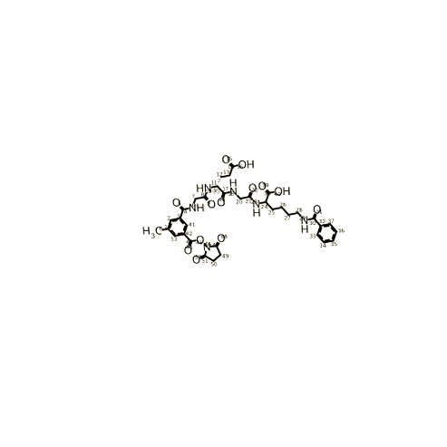 Cc1cc(C(=O)NCC(=O)N[C@H](CCC(=O)O)C(=O)NCC(=O)NC(CCCCNC(=O)c2ccccc2)C(=O)O)cc(C(=O)ON2C(=O)CCC2=O)c1